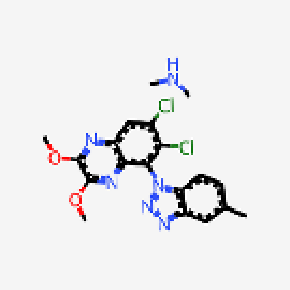 CNC.COc1nc2cc(Cl)c(Cl)c(-n3nnc4cc(C)ccc43)c2nc1OC